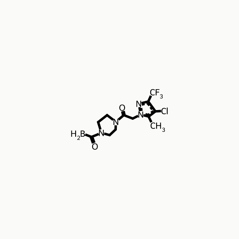 BC(=O)N1CCN(C(=O)Cn2nc(C(F)(F)F)c(Cl)c2C)CC1